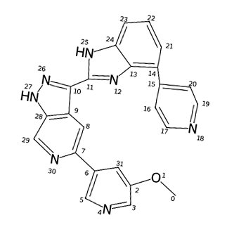 COc1cncc(-c2cc3c(-c4nc5c(-c6ccncc6)cccc5[nH]4)n[nH]c3cn2)c1